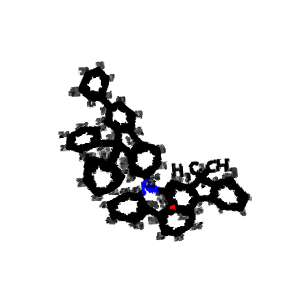 CC1(C)c2ccccc2-c2ccc(N(c3ccc4c(c3)C(c3ccccc3)(c3ccccc3)c3cc(-c5ccccc5)ccc3-4)c3ccccc3-c3ccccc3)cc21